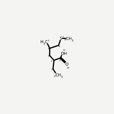 CCC(CC(C)CSC)C(=O)O